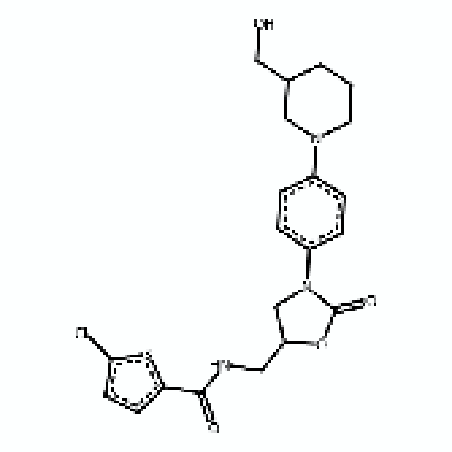 O=C(NCC1CN(c2ccc(N3CCCC(CO)C3)cc2)C(=O)O1)c1ccc(Cl)s1